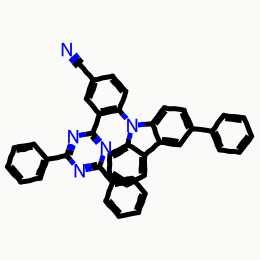 N#Cc1ccc(-n2c3ccccc3c3cc(-c4ccccc4)ccc32)c(-c2nc(-c3ccccc3)nc(-c3ccccc3)n2)c1